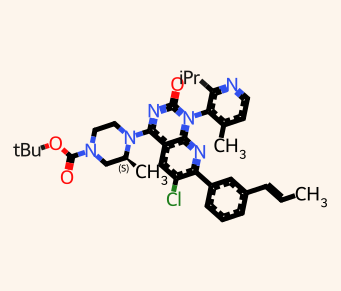 CC=Cc1cccc(-c2nc3c(cc2Cl)c(N2CCN(C(=O)OC(C)(C)C)C[C@@H]2C)nc(=O)n3-c2c(C)ccnc2C(C)C)c1